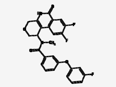 CN(C(=O)c1cccc(Oc2cccc(F)c2)c1)C1COCc2[nH]c(=O)c3cc(F)c(F)cc3c21